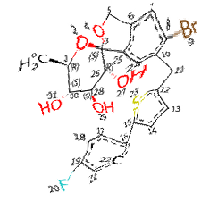 C[C@H]1O[C@]2(OCc3cc(Br)c(Cc4ccc(-c5ccc(F)cc5)s4)cc32)[C@H](O)[C@@H](O)[C@@H]1O